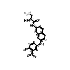 CCN(S)C(=O)Nc1ccc2ncc(Nc3ccc(F)c([N+](=O)[O-])c3)nc2n1